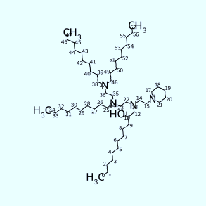 CCCCCCCCCCC(O)CN(CCN1CCCCC1)CCN(CCCCCCCCCC)CCN(CCCCCCCCCC)CCCCCCCCCC